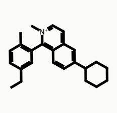 CCc1ccc(C)c(-c2c3ccc(C4CCCCC4)cc3cc[n+]2C)c1